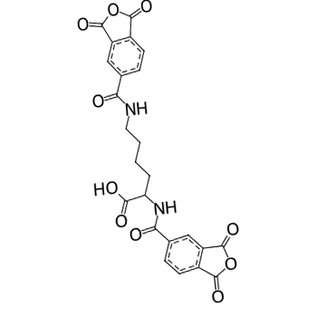 O=C(NCCCCC(NC(=O)c1ccc2c(c1)C(=O)OC2=O)C(=O)O)c1ccc2c(c1)C(=O)OC2=O